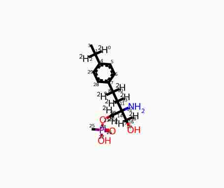 [2H]C([2H])(C)c1ccc(C([2H])([2H])C([2H])([2H])C(N)(C([2H])([2H])O)C([2H])([2H])OP(C)(=O)O)cc1